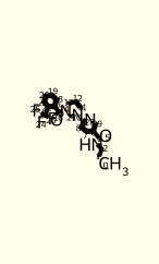 CCCNC(=O)c1ccc(N2C=CCN(C(=O)c3ccccc3C(F)(F)F)C2)nc1